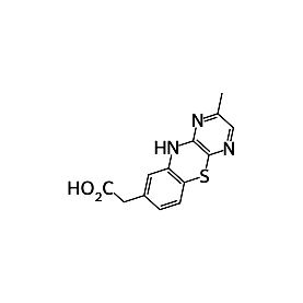 Cc1cnc2c(n1)Nc1cc(CC(=O)O)ccc1S2